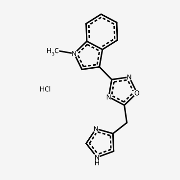 Cl.Cn1cc(-c2noc(Cc3c[nH]cn3)n2)c2ccccc21